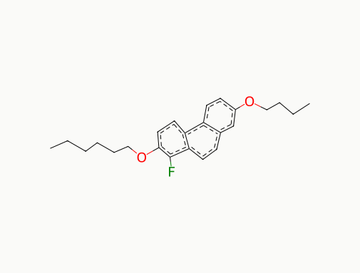 CCCCCCOc1ccc2c(ccc3cc(OCCCC)ccc32)c1F